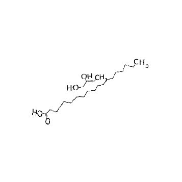 CC=C(O)CO.CCCCCCCCCCCCCCCCCC(=O)O